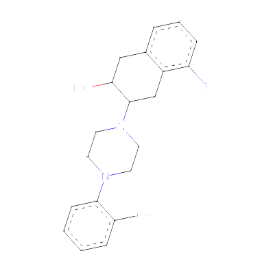 Cc1ccccc1N1CCN(C2Cc3c(I)cccc3CC2O)CC1